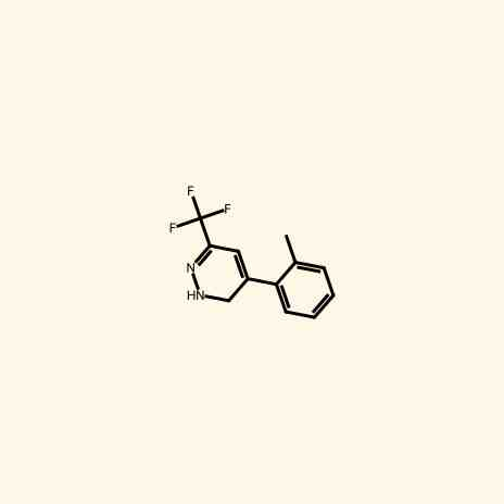 Cc1ccccc1C1=CC(C(F)(F)F)=NNC1